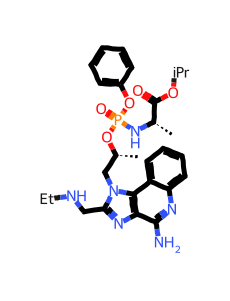 CCNCc1nc2c(N)nc3ccccc3c2n1C[C@@H](C)OP(=O)(N[C@@H](C)C(=O)OC(C)C)Oc1ccccc1